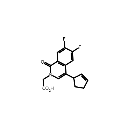 O=C(O)Cn1cc(C2C=CCC2)c2cc(F)c(F)cc2c1=O